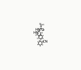 N#Cc1ccccc1-c1ccc2c(c1)=CNC(NC(=O)C1CC1)C=2